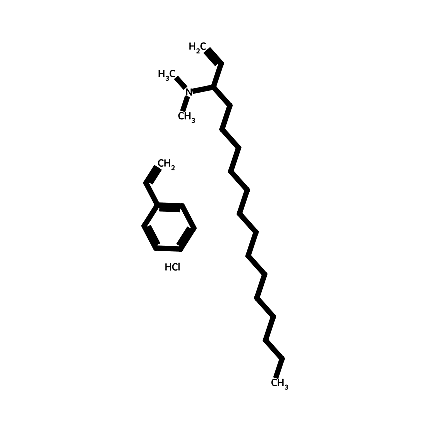 C=CC(CCCCCCCCCCCCCC)N(C)C.C=Cc1ccccc1.Cl